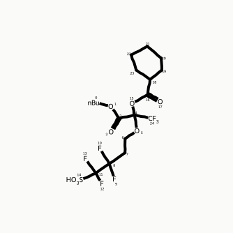 CCCCOC(=O)C(OCCC(F)(F)C(F)(F)S(=O)(=O)O)(OC(=O)C1CCCCC1)C(F)(F)F